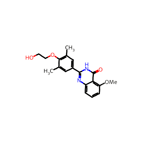 COc1cccc2nc(-c3cc(C)c(OCCO)c(C)c3)[nH]c(=O)c12